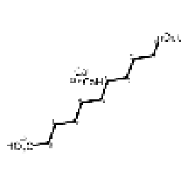 CCCCCCCCCCCCCCCCCC(=O)O.[CaH2].[Ca]